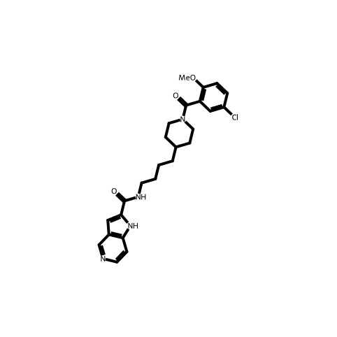 COc1ccc(Cl)cc1C(=O)N1CCC(CCCCNC(=O)c2cc3cnccc3[nH]2)CC1